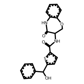 O=C(NC1COc2ccccc2NC1=O)c1ccc(C(O)c2ccccc2)s1